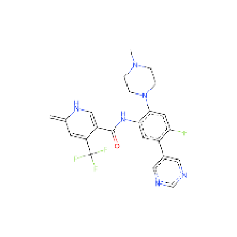 C=C1C=C(C(F)(F)F)C(C(=O)Nc2cc(-c3cncnc3)c(F)cc2N2CCN(C)CC2)=CN1